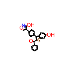 O=C(c1ccccc1)c1sc2cc(O)ccc2c1-c1ccc(-c2conc2O)cc1